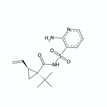 C=C[C@@H]1C[C@@]1(C(=O)NS(=O)(=O)c1cccnc1N)C(C)(C)C